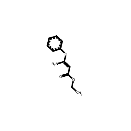 CCOC(=O)C=C(N)Oc1ccccc1